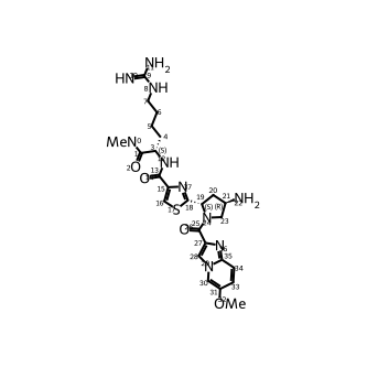 CNC(=O)[C@H](CCCCNC(=N)N)NC(=O)c1csc([C@@H]2C[C@@H](N)CN2C(=O)c2cn3cc(OC)ccc3n2)n1